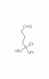 CCCC[N+](CC)(CCC)CCSC=O